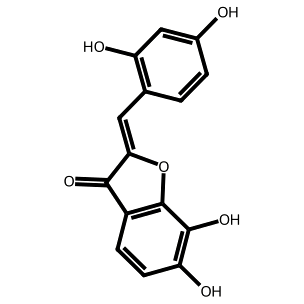 O=C1C(=Cc2ccc(O)cc2O)Oc2c1ccc(O)c2O